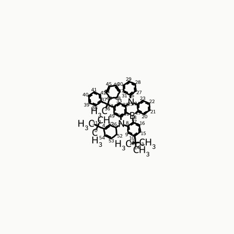 CC(C)(C)C1=CC(N2c3cc(C(C)(C)C)ccc3B3c4ccccc4N(c4ccccc4)c4cc(C(C)(c5ccccc5)C5C=CC=CC5)cc2c43)CC=C1